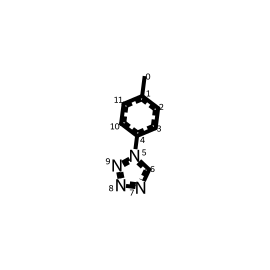 Cc1ccc(-n2cnnn2)cc1